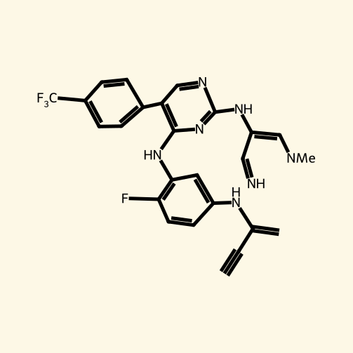 C#CC(=C)Nc1ccc(F)c(Nc2nc(N/C(C=N)=C/NC)ncc2-c2ccc(C(F)(F)F)cc2)c1